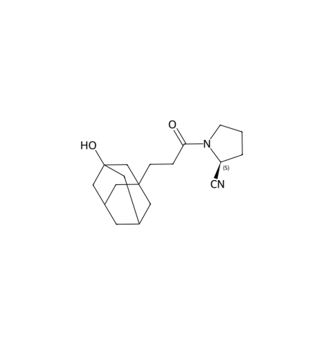 N#C[C@@H]1CCCN1C(=O)CCC12CC3CC(CC(O)(C3)C1)C2